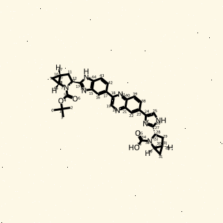 CC(C)(C)OC(=O)N1[C@@H]2C[C@@H]2C[C@H]1c1nc2cc(-c3cnc4cc(-c5c[nH]c([C@@H]6C[C@H]7C[C@H]7N6C(=O)O)n5)ccc4n3)ccc2[nH]1